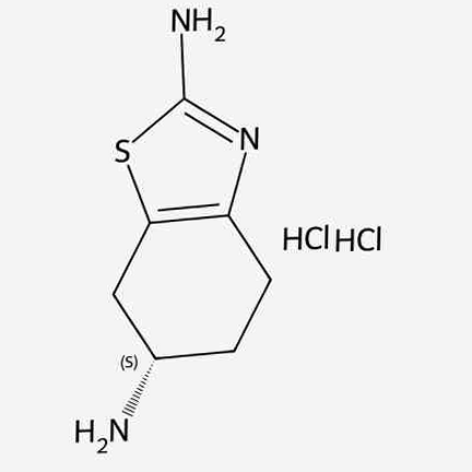 Cl.Cl.Nc1nc2c(s1)C[C@@H](N)CC2